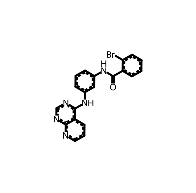 O=C(Nc1cccc(Nc2ncnc3ncccc23)c1)c1ccccc1Br